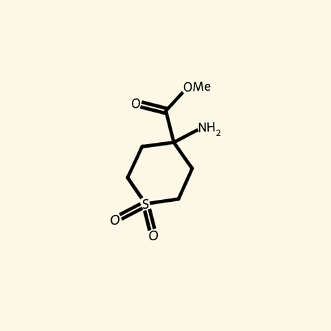 COC(=O)C1(N)CCS(=O)(=O)CC1